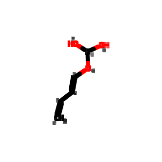 C=CC=COB(O)O